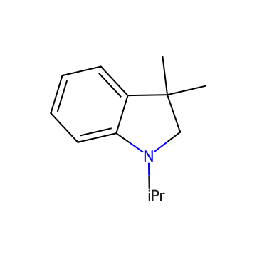 CC(C)N1CC(C)(C)c2ccccc21